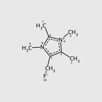 Cc1c(C)[n+](C)c(C)n1C.[F-]